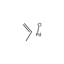 C=CC.[Cl][Pd]